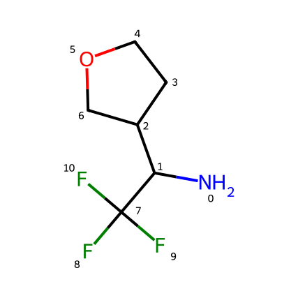 NC(C1CCOC1)C(F)(F)F